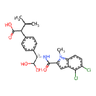 CC(C)C(C(=O)O)c1ccc([C@H](NC(=O)c2cc3c(Cl)c(Cl)ccc3n2C)C(O)O)cc1